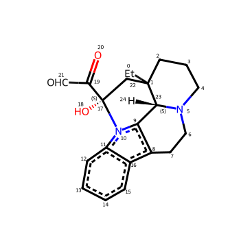 CCC12CCCN3CCc4c(n(c5ccccc45)[C@@](O)(C(=O)C=O)C1)[C@@H]32